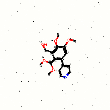 COc1cc(-c2ccncc2)c(C(OC)OC)c(CO)c1OC